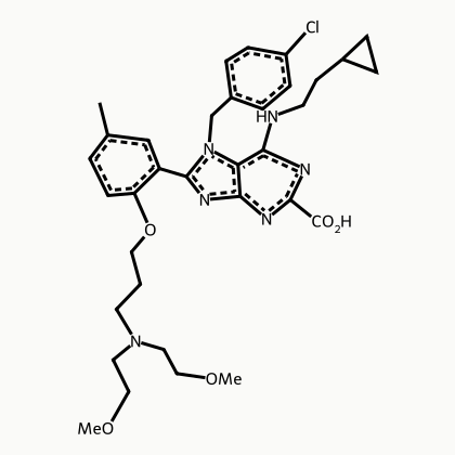 COCCN(CCCOc1ccc(C)cc1-c1nc2nc(C(=O)O)nc(NCCC3CC3)c2n1Cc1ccc(Cl)cc1)CCOC